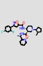 CC1CCCC1N1CC[C@@H](NC(=O)c2cc(-c3ccc(F)cc3F)no2)[C@H](C(=O)N[C@H](C)c2ccccn2)C1